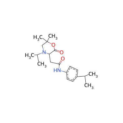 CC(C)c1ccc(NC(=O)CC2C(=O)OC(C)(C)CN2C(C)C)cc1